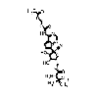 CC(=O)OCOC(=O)Nc1ncnn2c([C@]3(C#N)O[C@H](COC(=O)[C@@H](N)C(C)(C)C)[C@@H](O)[C@H]3O)ccc12